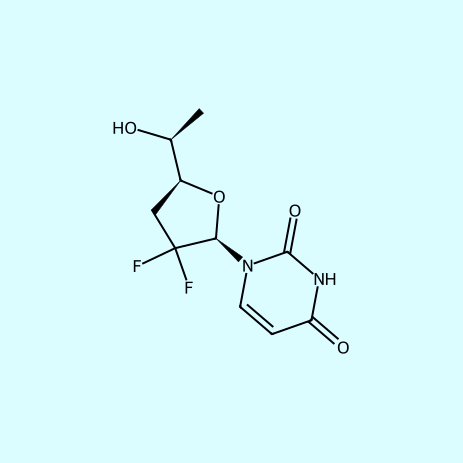 C[C@H](O)[C@@H]1CC(F)(F)[C@H](n2ccc(=O)[nH]c2=O)O1